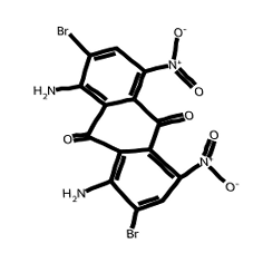 Nc1c(Br)cc([N+](=O)[O-])c2c1C(=O)c1c(N)c(Br)cc([N+](=O)[O-])c1C2=O